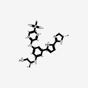 C[C@H]1CN=C(c2ccc(-c3cc(Oc4cnc(S(C)(=O)=O)cn4)cc(O[C@@H](C)CO)c3)[nH]2)O1